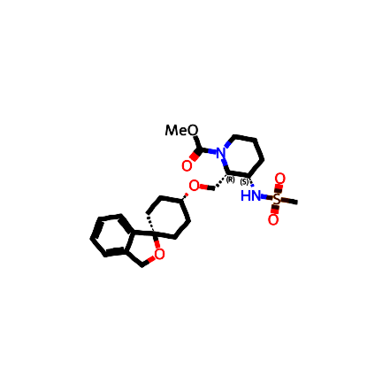 COC(=O)N1CCC[C@H](NS(C)(=O)=O)[C@@H]1CO[C@H]1CC[C@]2(CC1)OCc1ccccc12